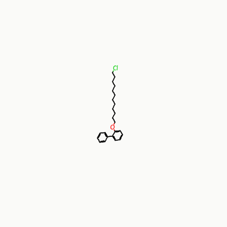 ClCCCCCCCCCCCCOc1ccccc1-c1ccccc1